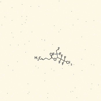 C=CCCC(=O)OC(C(F)(F)CF)C(F)(F)C(F)(F)C(F)(F)F